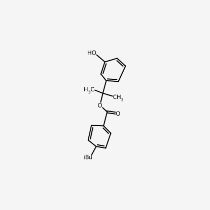 CCC(C)c1ccc(C(=O)OC(C)(C)c2cccc(O)c2)cc1